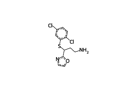 NCCC(Sc1cc(Cl)ccc1Cl)c1ncco1